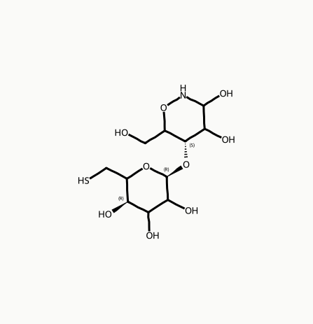 OCC1ONC(O)C(O)[C@@H]1O[C@@H]1OC(CS)[C@H](O)C(O)C1O